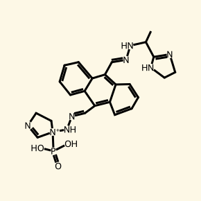 CC(NN=Cc1c2ccccc2c(C=NN[N+]2(P(=O)(O)O)C=NCC2)c2ccccc12)C1=NCCN1